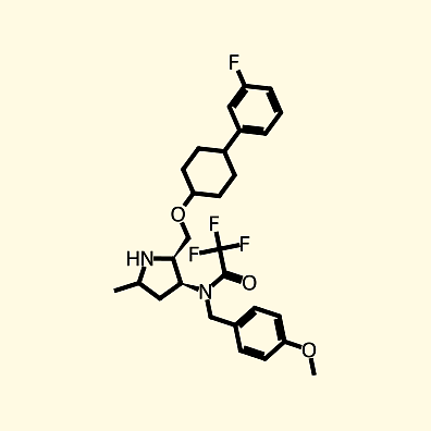 COc1ccc(CN(C(=O)C(F)(F)F)[C@H]2CC(C)N[C@H]2COC2CCC(c3cccc(F)c3)CC2)cc1